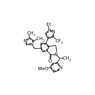 CCn1cc(-c2cc(Cn3cnc(C)c3C)cc3c2CCN([C@@H](C)c2cc(OC)ccn2)C3=O)c(C(F)(F)F)n1